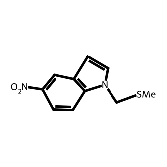 CSCn1ccc2cc([N+](=O)[O-])ccc21